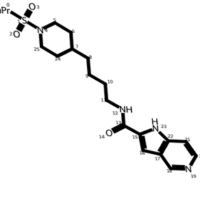 CCCS(=O)(=O)N1CCC(CCCCNC(=O)c2cc3cnccc3[nH]2)CC1